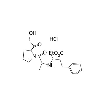 CCOC(=O)C(CCc1ccccc1)NC(C)C(=O)N1CCC[C@H]1C(=O)CO.Cl